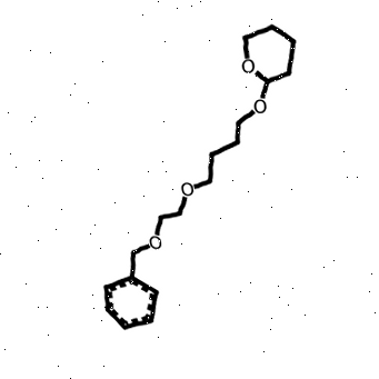 c1ccc(COCCOCCCCOC2CCCCO2)cc1